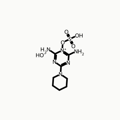 Nc1nc(N2CCCCC2)nc(N)[n+]1OS(=O)(=O)O.[OH-]